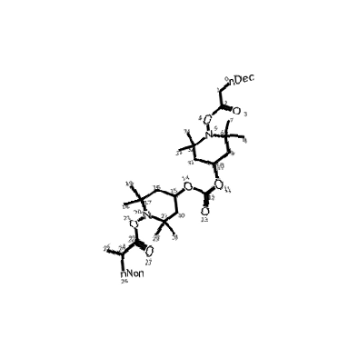 CCCCCCCCCCCC(=O)ON1C(C)(C)CC(OC(=O)OC2CC(C)(C)N(OC(=O)C(C)CCCCCCCCC)C(C)(C)C2)CC1(C)C